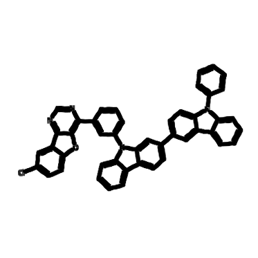 Clc1ccc2oc3c(-c4cccc(-n5c6ccccc6c6ccc(-c7ccc8c(c7)c7ccccc7n8-c7ccccc7)cc65)c4)ncnc3c2c1